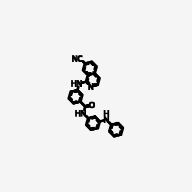 N#Cc1ccc2ccnc(Nc3cccc(C(=O)Nc4cccc(Nc5ccccc5)c4)c3)c2c1